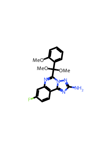 COc1ccccc1C(OC)(OC)c1nc2cc(F)ccc2c2nc(N)nn12